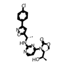 C[C@H](Nc1nccc(N2C(=O)OC[C@@H]2[C@@H](C)O)n1)c1cc(-c2ccc(Cl)cc2)no1